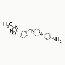 Cc1noc(-c2cccc(CN3CCN(c4ccc(N)cc4)CC3)c2)n1